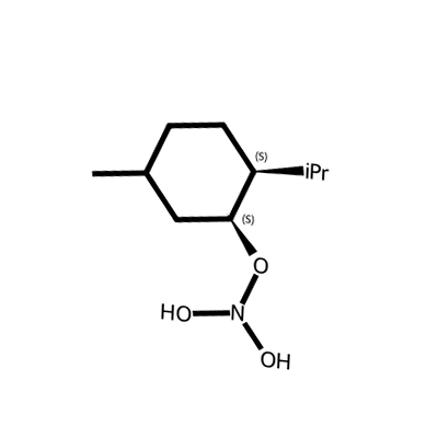 CC1CC[C@@H](C(C)C)[C@@H](ON(O)O)C1